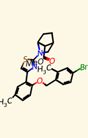 COC(=O)C1C2CCC1N(c1nc(-c3cc(C)ccc3OCc3ccc(Br)cc3C)cs1)C2